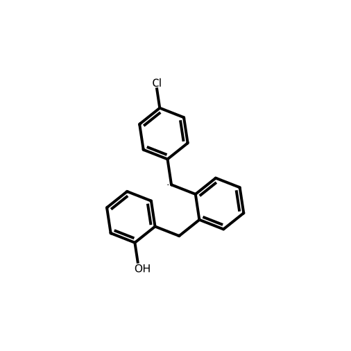 Oc1ccccc1Cc1ccccc1[CH]c1ccc(Cl)cc1